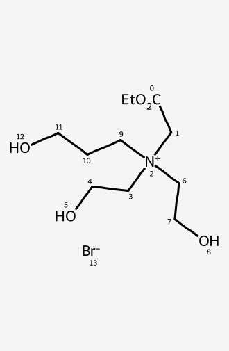 CCOC(=O)C[N+](CCO)(CCO)CCCO.[Br-]